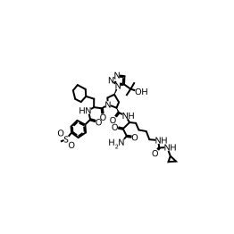 CC(C)(O)c1cnnn1[C@H]1C[C@@H](C(=O)NC(CCCCNC(=O)NC2CC2)C(=O)C(N)=O)N(C(=O)C(CC2CCCCC2)NC(=O)c2ccc(S(C)(=O)=O)cc2)C1